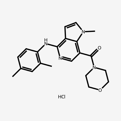 Cc1ccc(Nc2ncc(C(=O)N3CCOCC3)c3c2ccn3C)c(C)c1.Cl